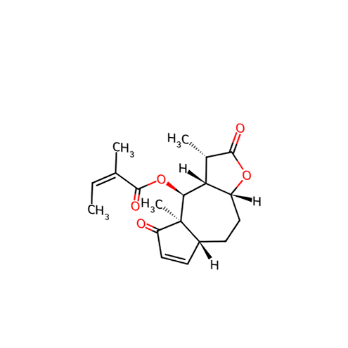 C/C=C(/C)C(=O)O[C@H]1[C@@H]2[C@H](C)C(=O)O[C@@H]2CC[C@@H]2C=CC(=O)[C@]21C